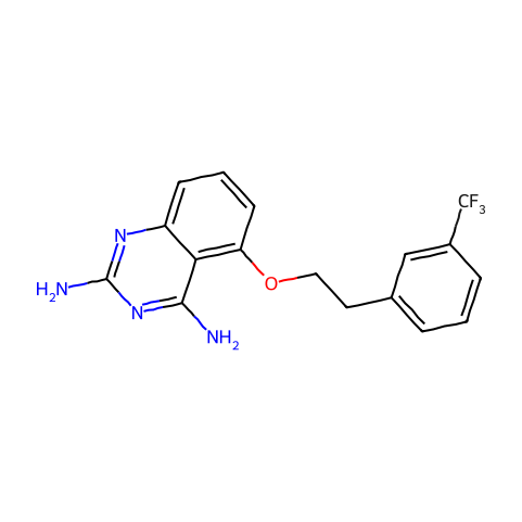 Nc1nc(N)c2c(OCCc3cccc(C(F)(F)F)c3)cccc2n1